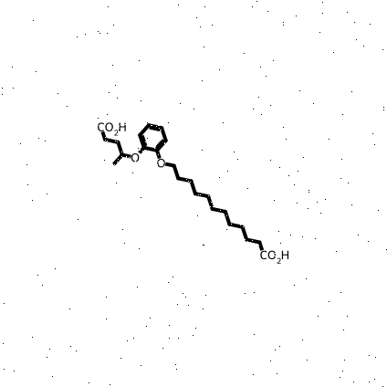 CC(CCC(=O)O)Oc1ccccc1OCCCCCCCCCCCC(=O)O